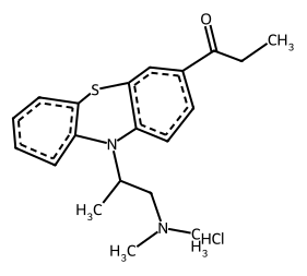 CCC(=O)c1ccc2c(c1)Sc1ccccc1N2C(C)CN(C)C.Cl